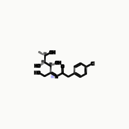 C[C@H](O)[C@@H](O)[C@H](O)/C(CO)=N\C(=O)Cc1ccc(Cl)cc1